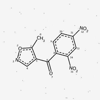 Cc1oncc1C(=O)c1ccc([N+](=O)[O-])cc1[N+](=O)[O-]